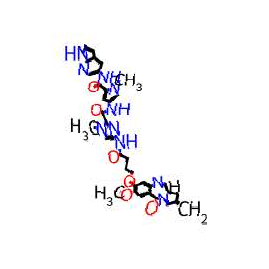 C=C1C[C@H]2C=Nc3cc(OCCCC(=O)Nc4cn(C)c(C(=O)Nc5cc(C(=O)Nc6cnc7[nH]ccc7c6)n(C)c5)n4)c(OC)cc3C(=O)N2C1